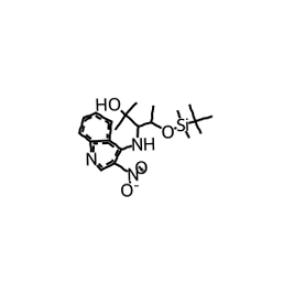 CC(O[Si](C)(C)C(C)(C)C)C(Nc1c([N+](=O)[O-])cnc2ccccc12)C(C)(C)O